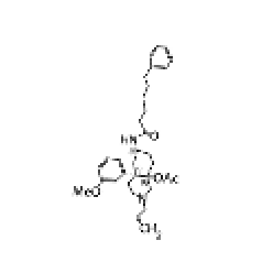 C=CCN1CC[C@@]2(c3cccc(OC)c3)C[C@H](NC(=O)CCCCCc3ccccc3)CC[C@]2(OC(C)=O)C1